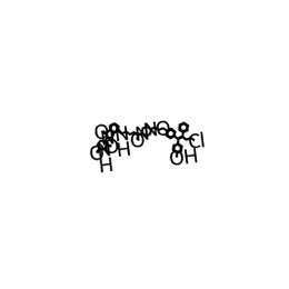 O=C1CCC(N2Cc3c(NCCCC(=O)N4CCN(CCOc5ccc(C(=C(CCCl)c6ccccc6)c6ccc(O)cc6)cc5)CC4)cccc3C2=O)C(=O)N1